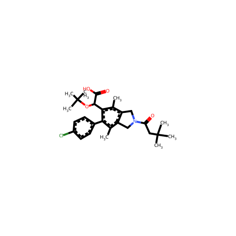 Cc1c2c(c(C)c(C(OC(C)(C)C)C(=O)O)c1-c1ccc(Cl)cc1)CN(C(=O)CC(C)(C)C)C2